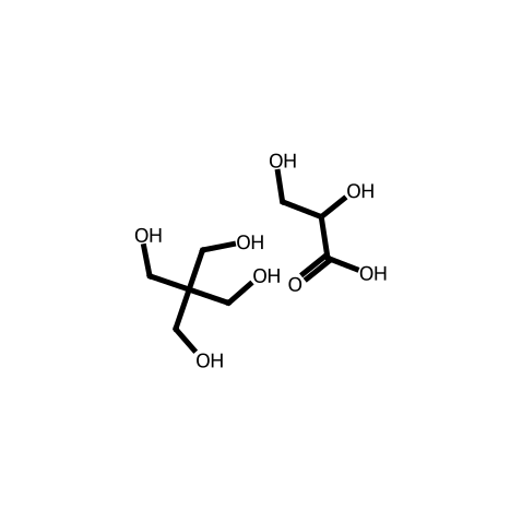 O=C(O)C(O)CO.OCC(CO)(CO)CO